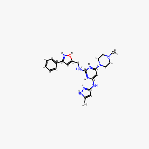 CC(C)c1cc(Nc2cc(N3CCN(C)CC3)nc(NCc3cc(-c4ccccc4)no3)n2)n[nH]1